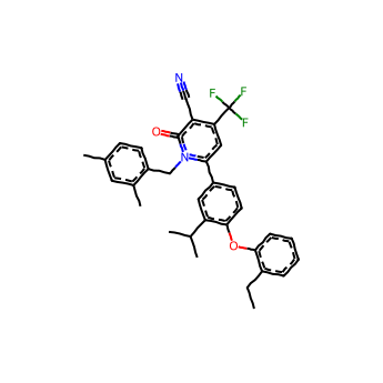 CCc1ccccc1Oc1ccc(-c2cc(C(F)(F)F)c(C#N)c(=O)n2Cc2ccc(C)cc2C)cc1C(C)C